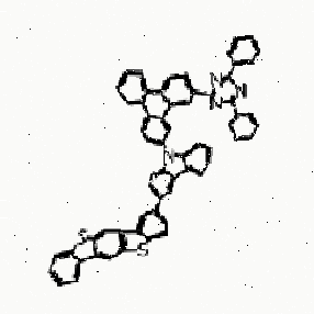 c1ccc(-c2nc(-c3ccccc3)nc(-c3ccc4c5ccccc5c5ccc(-n6c7ccccc7c7cc(-c8ccc9sc%10cc%11c(cc%10c9c8)sc8ccccc8%11)ccc76)cc5c4c3)n2)cc1